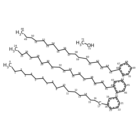 CCCCCCCCCCCCCCCCCCc1ccccc1.CCCCCCCCCCCCCCCCCCc1ccccc1.CCCCCCCCCCCCCCCCCCc1ccccc1.CO